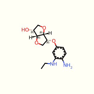 CCNc1cc(O[C@@H]2CO[C@H]3[C@@H]2OC[C@H]3O)ccc1N